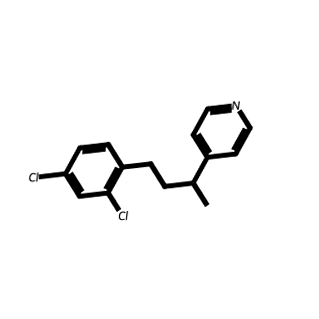 CC(CCc1ccc(Cl)cc1Cl)c1ccncc1